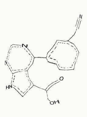 N#Cc1cccc(-c2ncnc3[nH]cc(C(=O)O)c23)c1